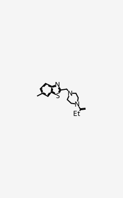 C=C(CC)N1CCN(Cc2nc3ccc(C)cc3s2)CC1